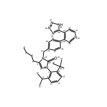 CCCCc1cn(-c2c(C(C)C)cccc2C(C)(C)C)c(=O)n1Cc1ccc(-c2cnccc2-c2nnn[nH]2)cc1